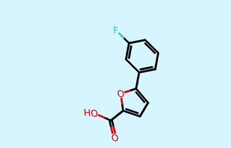 O=C(O)c1ccc(-c2cccc(F)c2)o1